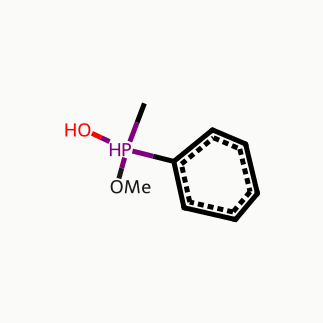 CO[PH](C)(O)c1ccccc1